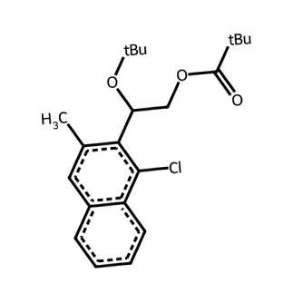 Cc1cc2ccccc2c(Cl)c1C(COC(=O)C(C)(C)C)OC(C)(C)C